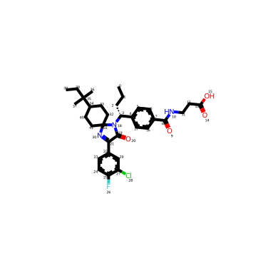 CCC[C@H](c1ccc(C(=O)NCCC(=O)O)cc1)N1C(=O)C(c2ccc(F)c(Cl)c2)=NC12CCC(C(C)(C)CC)CC2